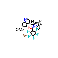 C=C[C@H]1C[N+]2(Cc3c(F)c(F)c(F)c(F)c3F)CC[C@H]1C[C@H]2[C@H](O)c1ccnc2ccc(OC)cc12.[Br-]